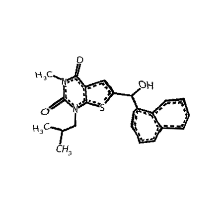 CC(C)Cn1c(=O)n(C)c(=O)c2cc(C(O)c3cccc4ccccc34)sc21